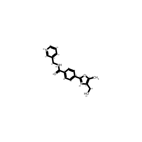 Cc1oc(-c2ccc(C(=O)NCc3cccnc3)cc2)nc1CO